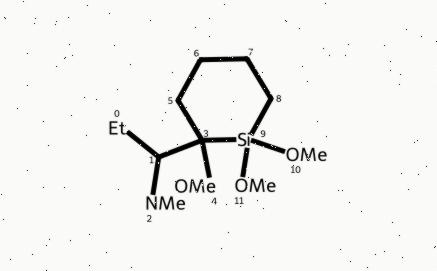 CCC(NC)C1(OC)CCCC[Si]1(OC)OC